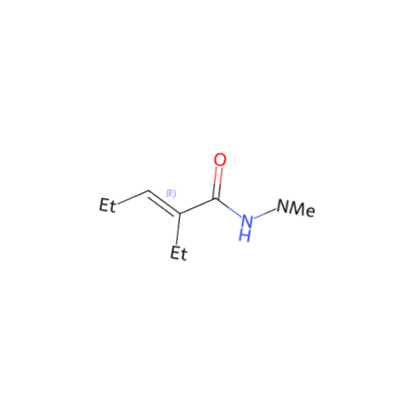 CC/C=C(\CC)C(=O)NNC